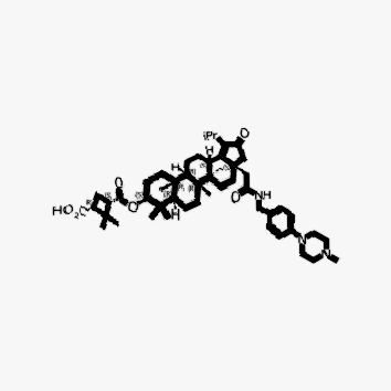 CC(C)C1=C2[C@H]3CC[C@@H]4[C@@]5(C)CC[C@H](OC(=O)[C@H]6C[C@@H](C(=O)O)C6(C)C)C(C)(C)[C@@H]5CC[C@@]4(C)[C@]3(C)CC[C@@]2(CC(=O)NCc2ccc(N3CCN(C)CC3)cc2)CC1=O